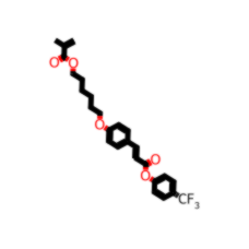 C=C(C)C(=O)OCCCCCCOc1ccc(/C=C/C(=O)Oc2ccc(C(F)(F)F)cc2)cc1